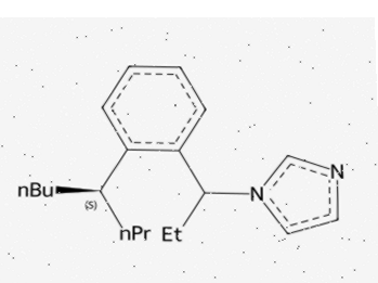 CCCC[C@H](CCC)c1ccccc1C(CC)n1ccnc1